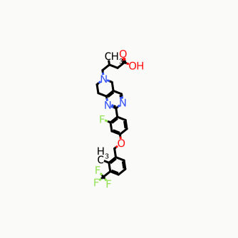 Cc1c(COc2ccc(-c3ncc4c(n3)CCN(CC(C)CC(=O)O)C4)c(F)c2)cccc1C(F)(F)F